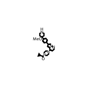 COC1(c2ccc(-c3cc4c(N5CCN(C(=O)C6CC6)CC5)ccnn4c3)cc2)CCNCC1